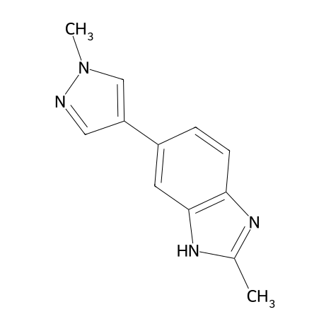 Cc1nc2ccc(-c3cnn(C)c3)cc2[nH]1